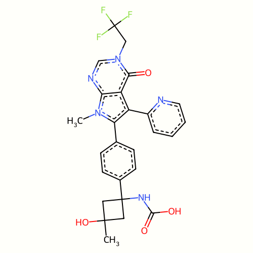 Cn1c(-c2ccc(C3(NC(=O)O)CC(C)(O)C3)cc2)c(-c2ccccn2)c2c(=O)n(CC(F)(F)F)cnc21